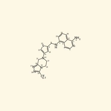 Nc1nccc2c(NCc3cc(N4CCn5c(nnc5C(F)(F)F)C4)cs3)cccc12